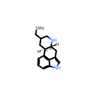 CSCC1CN[C@@H]2Cc3c[nH]c4cccc(c34)[C@H]2C1